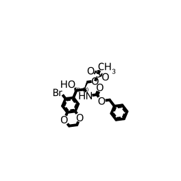 CS(=O)(=O)OC[C@@H](NC(=O)OCc1ccccc1)[C@H](O)c1cc2c(cc1Br)OCCO2